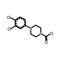 O=C(Cl)N1CCN(c2ccc(Cl)c(Cl)c2)CC1